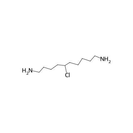 NCCCCCC(Cl)CCCCN